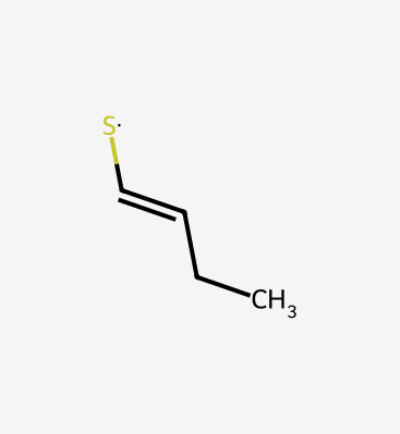 CCC=C[S]